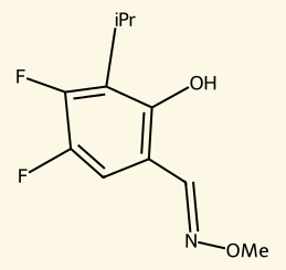 CON=Cc1cc(F)c(F)c(C(C)C)c1O